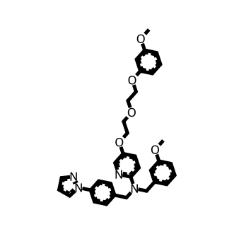 COc1cccc(CN(Cc2ccc(-n3cccn3)cc2)c2ccc(OCCOCCOc3cccc(OC)c3)cn2)c1